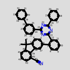 CC1(C)c2ccc(-c3ccccc3-c3nc(-c4ccccc4)nc(-c4cccc(-c5ccccc5)c4)n3)cc2-c2c(C#N)cccc21